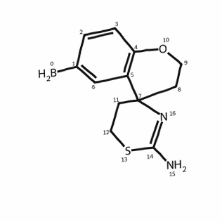 Bc1ccc2c(c1)C1(CCO2)CCSC(N)=N1